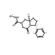 CC(C)NC(=O)N1CC(=O)N2[C@@H](CC[C@@H]2c2ccccc2)C1